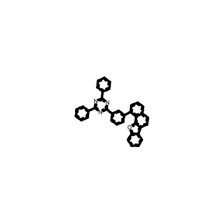 c1ccc(-c2nc(-c3ccccc3)nc(-c3cccc(-c4cccc5ccc6c7ccccc7oc6c45)c3)n2)cc1